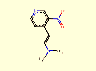 CN(C)C=Cc1ccncc1[N+](=O)[O-]